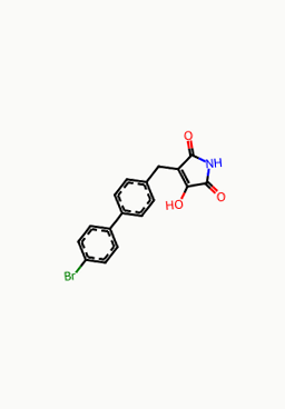 O=C1NC(=O)C(Cc2ccc(-c3ccc(Br)cc3)cc2)=C1O